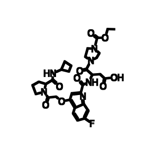 CCOC(=O)N1CCN(C(=O)C(CC(=O)O)NC(=O)c2cc(OCC(=O)N3CCCC3C(=O)NC3CCC3)c3ccc(F)cc3n2)CC1